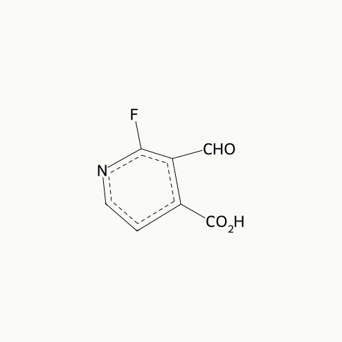 O=Cc1c(C(=O)O)ccnc1F